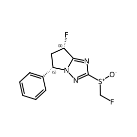 [O-][S+](CF)c1nc2n(n1)[C@H](c1ccccc1)C[C@@H]2F